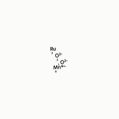 [Mn+4].[O-2].[O-2].[Ru]